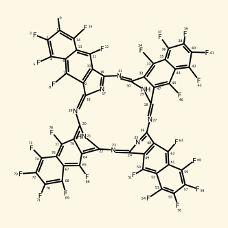 Cc1c(F)c(F)c2c(F)c3c(c(F)c2c1F)-c1nc-3nc2[nH]c(nc3nc(nc4[nH]c(n1)c1c(F)c5c(F)c(F)c(F)c(F)c5c(F)c41)-c1c-3c(F)c3c(F)c(F)c(F)c(F)c3c1F)c1c(F)c3c(F)c(F)c(F)c(F)c3c(F)c21